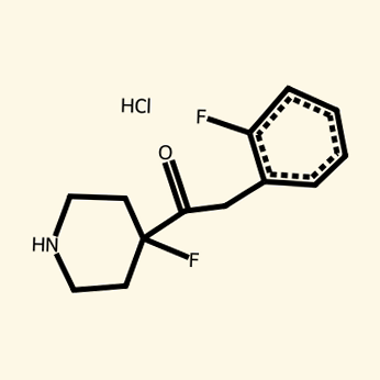 Cl.O=C(Cc1ccccc1F)C1(F)CCNCC1